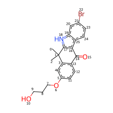 CC1(C)c2cc(OCCCO)ccc2C(=O)c2c1[nH]c1cc(Br)ccc21